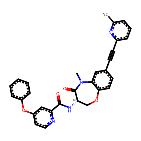 CN1C(=O)[C@@H](NC(=O)c2cc(Oc3ccccc3)ccn2)COc2ccc(C#Cc3cccc(C#N)n3)cc21